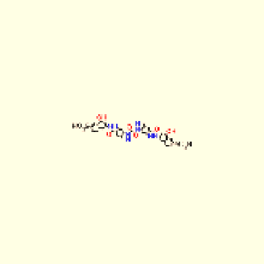 Cc1cc(C(=O)Nc2cc(O)c3cc(S(=O)(=O)O)ccc3c2)ccc1NC(=O)C(=O)Nc1ccc(C(=O)Nc2cc(O)c3cc(S(=O)(=O)O)ccc3c2)cc1C